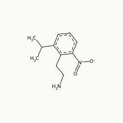 CC(C)c1cccc([N+](=O)[O-])c1CCN